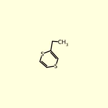 CCC1=CSC=CS1